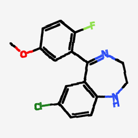 COc1ccc(F)c(C2=NCCNc3ccc(Cl)cc32)c1